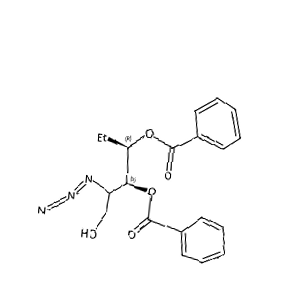 CC[C@@H](OC(=O)c1ccccc1)[C@@H](OC(=O)c1ccccc1)C(CO)N=[N+]=[N-]